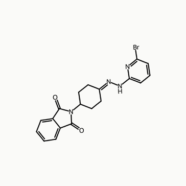 O=C1c2ccccc2C(=O)N1C1CCC(=NNc2cccc(Br)n2)CC1